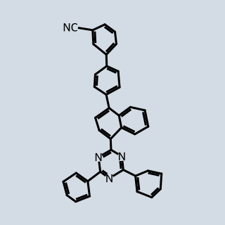 N#Cc1cccc(-c2ccc(-c3ccc(-c4nc(-c5ccccc5)nc(-c5ccccc5)n4)c4ccccc34)cc2)c1